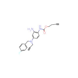 C#CCCOC(=O)Nc1ccc(N(CC#C)Cc2ccc(F)cc2)cc1N